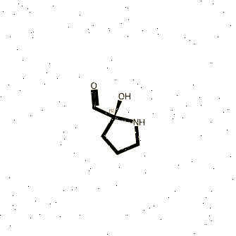 O=C[C@@]1(O)CCCN1